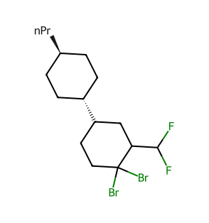 CCC[C@H]1CC[C@H](C2CCC(Br)(Br)C(C(F)F)C2)CC1